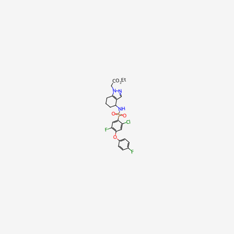 CCOC(=O)Cn1ncc2c1CCCC2NS(=O)(=O)c1cc(F)c(Oc2ccc(F)cc2)cc1Cl